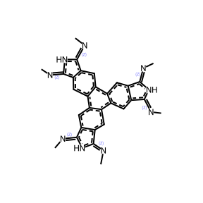 C/N=c1\[nH]/c(=N\C)c2cc3c(cc12)c1cc2/c(=N/C)[nH]/c(=N\C)c2cc1c1cc2/c(=N/C)[nH]/c(=N\C)c2cc31